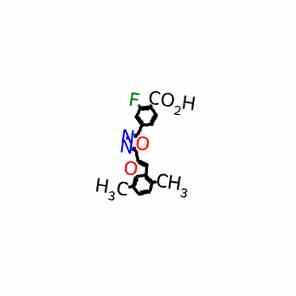 Cc1ccc(C)c2oc(-c3nnc(-c4ccc(C(=O)O)c(F)c4)o3)cc12